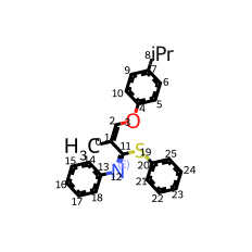 CC(=COc1ccc(C(C)C)cc1)/C(=N\c1ccccc1)Sc1ccccc1